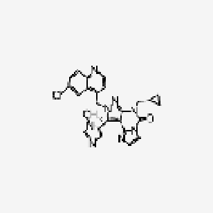 Cn1cncc1-c1c2c(nn1Cc1ccnc3ccc(Cl)cc13)n(CC1CC1)c(=O)n1ccnc21